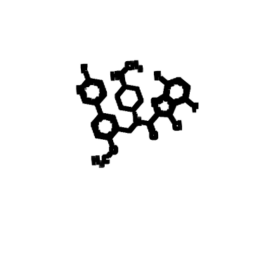 CN[C@H]1CC[C@H](N(Cc2cc(-c3ccc(F)nc3)ccc2OC)C(=O)c2sc3c(F)ccc(F)c3c2Cl)CC1